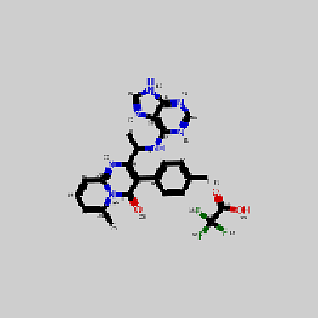 Cc1ccc(-c2c(C(C)Nc3ncnc4[nH]cnc34)nc3cccc(C)n3c2=O)cc1.O=C(O)C(F)(F)F